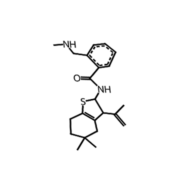 C=C(C)C1C2=C(CCC(C)(C)C2)SC1NC(=O)c1ccccc1CNC